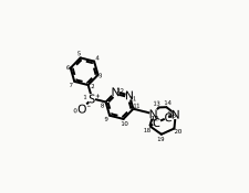 [O-][S+](c1ccccc1)c1ccc(N2CCN3CCC2CC3)nn1